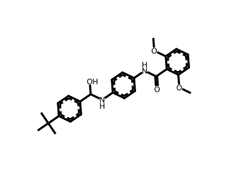 COc1cccc(OC)c1C(=O)Nc1ccc(NC(O)c2ccc(C(C)(C)C)cc2)cc1